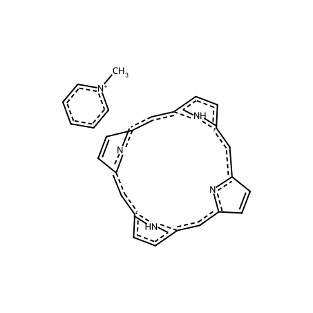 C1=Cc2cc3ccc(cc4nc(cc5ccc(cc1n2)[nH]5)C=C4)[nH]3.C[n+]1ccccc1